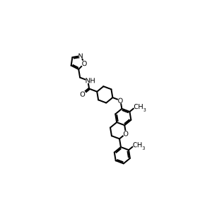 Cc1cc2c(cc1OC1CCC(C(=O)NCc3ccno3)CC1)CCC(c1ccccc1C)O2